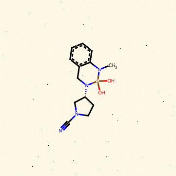 CN1c2ccccc2CN([C@@H]2CCN(C#N)C2)S1(O)O